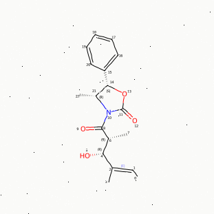 C/C=C(\C)[C@H](O)[C@@H](C)C(=O)N1C(=O)O[C@@H](c2ccccc2)[C@H]1C